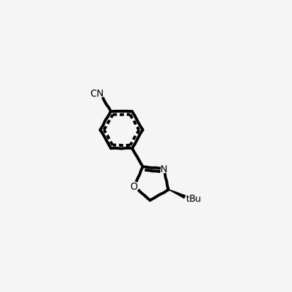 [C-]#[N+]c1ccc(C2=N[C@@H](C(C)(C)C)CO2)cc1